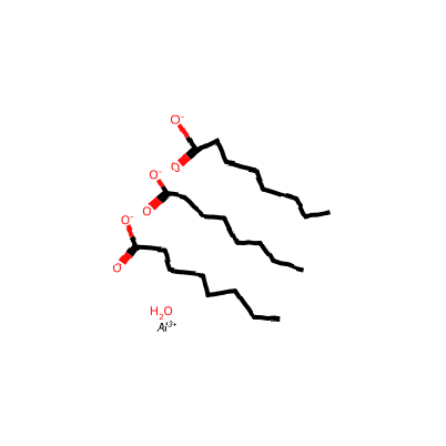 CCCCCCCC(=O)[O-].CCCCCCCC(=O)[O-].CCCCCCCC(=O)[O-].O.[Al+3]